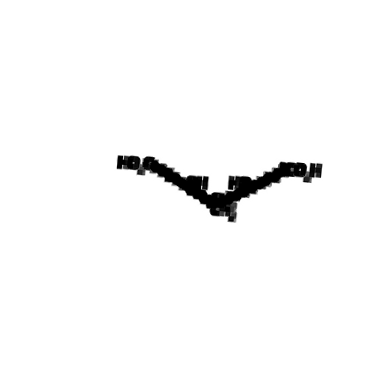 [CH2]C([CH2])(CCCCCCCC(O)CCCCCCCCCCC(=O)O)CCCCCCCC(O)CCCCCCCCCCC(=O)O